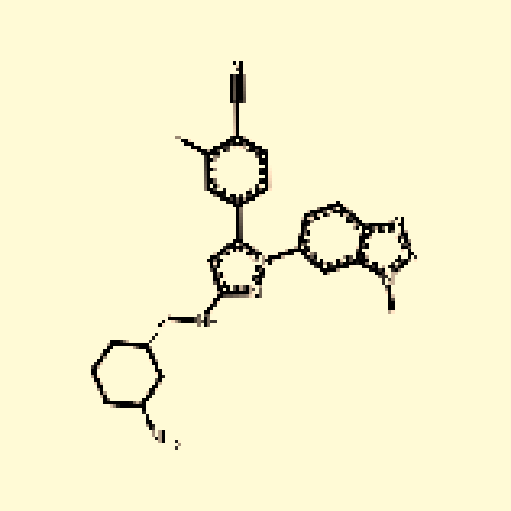 Cn1nnc2ccc(-n3nc(NC[C@H]4CCC[C@H](N)C4)cc3-c3ccc(C#N)c(F)c3)cc21